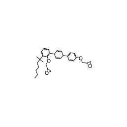 CCCCCC(C)(C)c1cccc(C2C=CC(c3ccc(OCC4CO4)cc3)C=C2)c1OCC1CO1